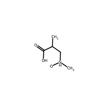 CC(C[SiH](C)[O])C(=O)O